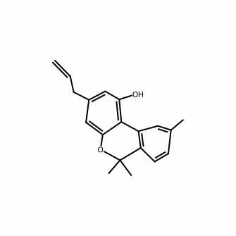 C=CCc1cc(O)c2c(c1)OC(C)(C)c1ccc(C)cc1-2